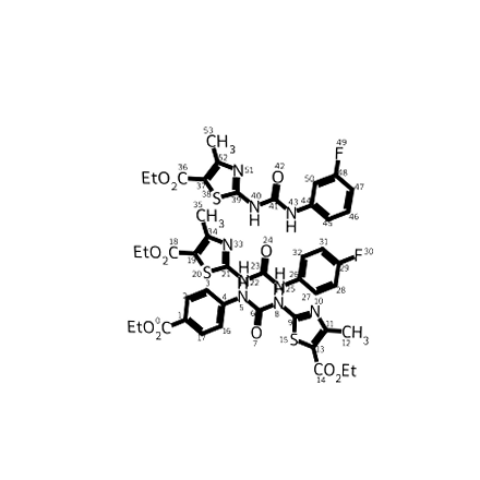 CCOC(=O)c1ccc(NC(=O)Nc2nc(C)c(C(=O)OCC)s2)cc1.CCOC(=O)c1sc(NC(=O)Nc2ccc(F)cc2)nc1C.CCOC(=O)c1sc(NC(=O)Nc2cccc(F)c2)nc1C